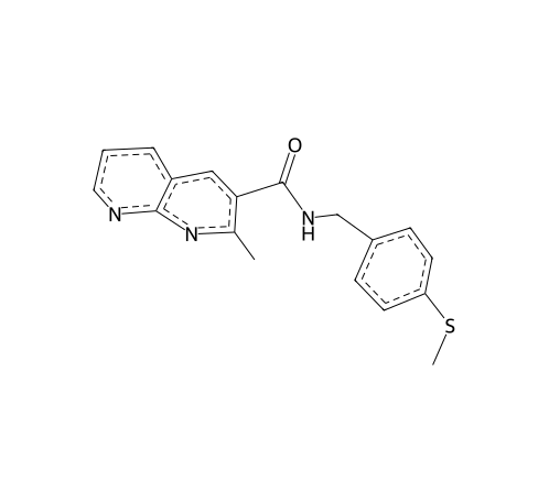 CSc1ccc(CNC(=O)c2cc3cccnc3nc2C)cc1